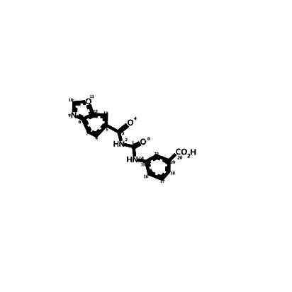 O=C(NC(=O)c1ccc2ncoc2c1)Nc1cccc(C(=O)O)c1